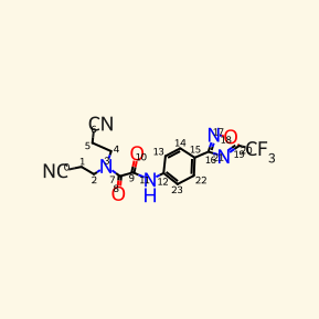 N#CCCN(CCC#N)C(=O)C(=O)Nc1ccc(-c2noc(C(F)(F)F)n2)cc1